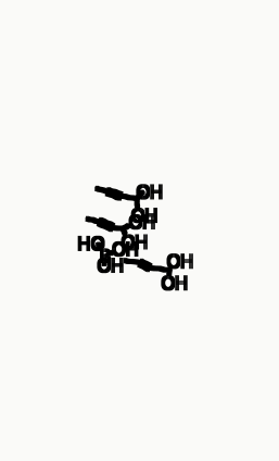 CC#CC(O)O.CC#CC(O)O.CC#CC(O)O.OB(O)O